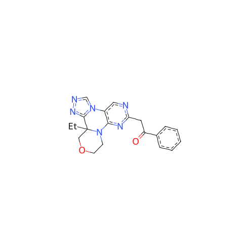 CCC12COCCN1c1nc(CC(=O)c3ccccc3)ncc1-n1cnnc12